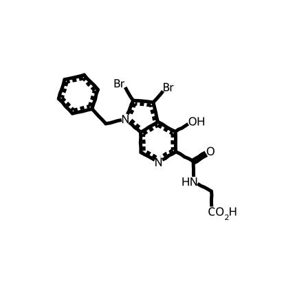 O=C(O)CNC(=O)c1ncc2c(c1O)c(Br)c(Br)n2Cc1ccccc1